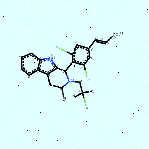 CCC1Cc2c([nH]c3ccccc23)C(c2c(F)cc(/C=C/C(=O)O)cc2F)N1CC(C)(C)F